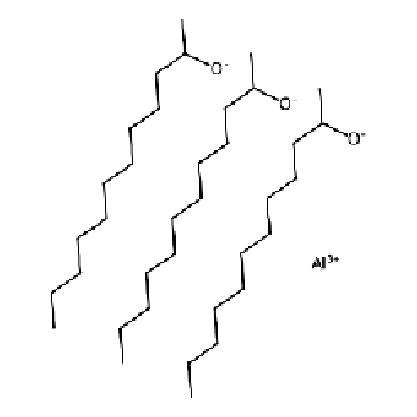 CCCCCCCCCCC(C)[O-].CCCCCCCCCCC(C)[O-].CCCCCCCCCCC(C)[O-].[Al+3]